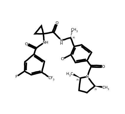 C[C@@H]1CC[C@H](C)N1C(=O)c1ccc([C@@H](C)NC(=O)C2(NC(=O)c3cc(F)cc(C(F)(F)F)c3)CC2)c(Cl)c1